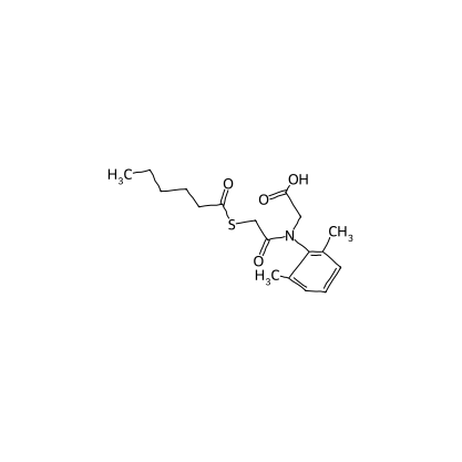 CCCCCC(=O)SCC(=O)N(CC(=O)O)c1c(C)cccc1C